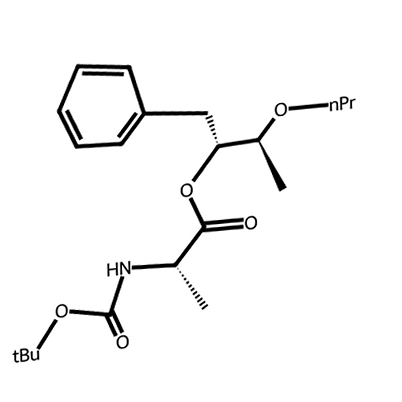 CCCO[C@@H](C)[C@@H](Cc1ccccc1)OC(=O)[C@H](C)NC(=O)OC(C)(C)C